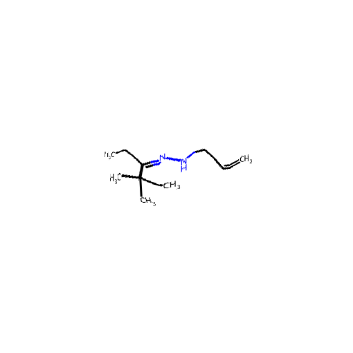 C=CCNN=C(CC)C(C)(C)C